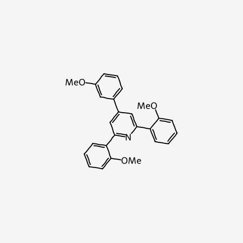 COc1cccc(-c2cc(-c3ccccc3OC)nc(-c3ccccc3OC)c2)c1